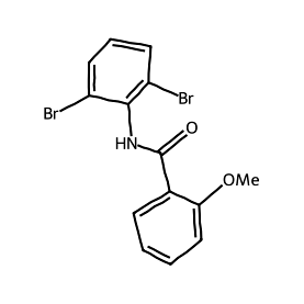 COc1ccccc1C(=O)Nc1c(Br)cccc1Br